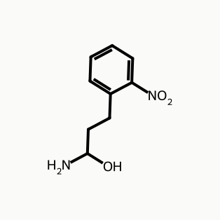 NC(O)CCc1ccccc1[N+](=O)[O-]